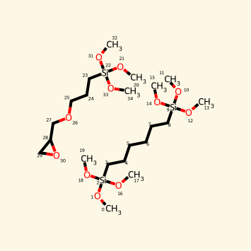 CO[Si](CCCCCC[Si](OC)(OC)OC)(OC)OC.CO[Si](CCCOCC1CO1)(OC)OC